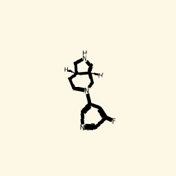 Fc1cncc(N2CC[C@@H]3CNC[C@@H]3C2)c1